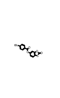 CC(C)(C)c1ccc(C(=O)Oc2ccc3sc(=O)oc3c2)cc1